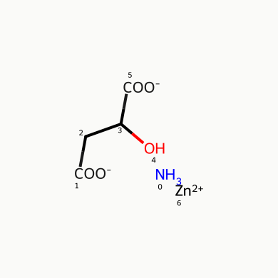 N.O=C([O-])CC(O)C(=O)[O-].[Zn+2]